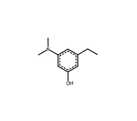 CCc1cc(O)cc(N(C)C)c1